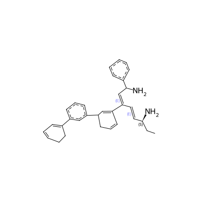 CC[C@H](N)/C=C/C(=C\C(N)c1ccccc1)C1=CC(c2cccc(C3=CC=CCC3)c2)CC=C1